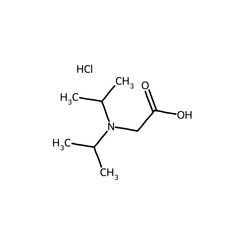 CC(C)N(CC(=O)O)C(C)C.Cl